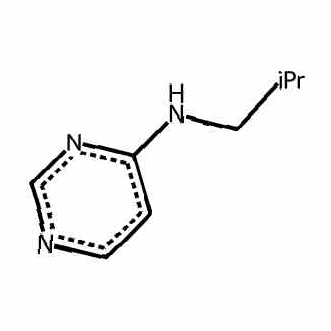 CC(C)CNc1ccncn1